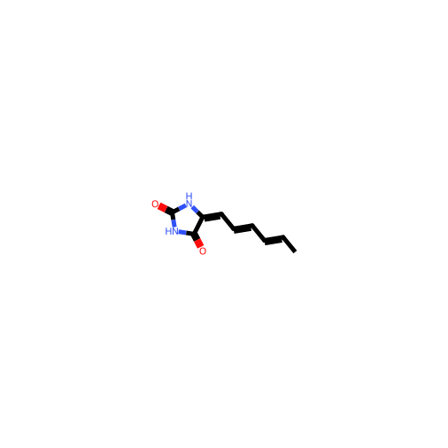 CC=CC=CC=C1NC(=O)NC1=O